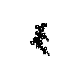 CC1(C)C(=O)N(c2ccc(C#N)c(Cl)c2)C(=S)N1c1ccc(Cl)c(NC(=O)CCCC(N)=O)c1